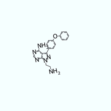 NCCn1nc(-c2ccc(Oc3ccccc3)cc2)c2c(N)ncnc21